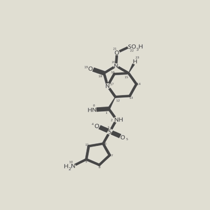 N=C(NS(=O)(=O)C1CCC(N)C1)[C@@H]1CC[C@@H]2CN1C(=O)N2OS(=O)(=O)O